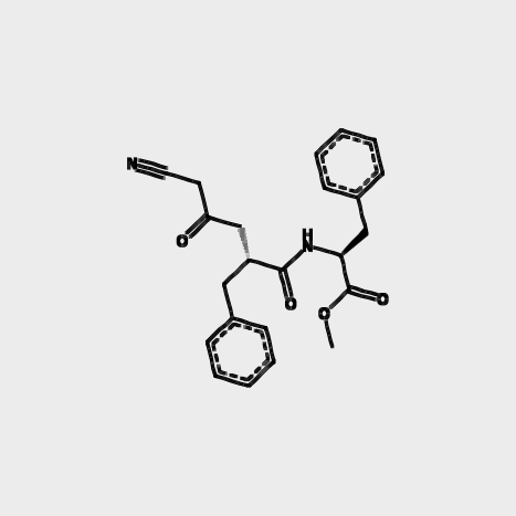 COC(=O)[C@H](Cc1ccccc1)NC(=O)[C@@H](CC(=O)CC#N)Cc1ccccc1